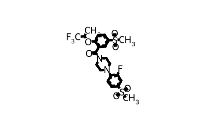 CC(Oc1ccc(S(C)(=O)=O)cc1C(=O)N1CCN(c2ccc(S(C)(=O)=O)cc2F)CC1)C(F)(F)F